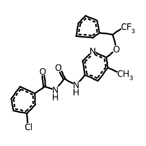 Cc1cc(NC(=O)NC(=O)c2cccc(Cl)c2)cnc1OC(c1ccccc1)C(F)(F)F